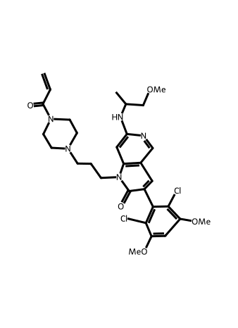 C=CC(=O)N1CCN(CCCn2c(=O)c(-c3c(Cl)c(OC)cc(OC)c3Cl)cc3cnc(NC(C)COC)cc32)CC1